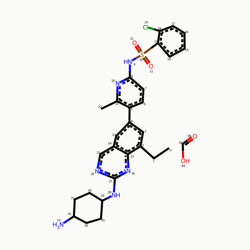 CCc1cc(-c2ccc(NS(=O)(=O)c3ccccc3Cl)nc2C)cc2cnc(NC3CCC(N)CC3)nc12.O=CO